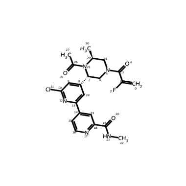 C=C(F)C(=O)N1C[C@H](c2cc(Cl)nc(-c3ccnc(C(=O)NC)c3)c2)N(C(C)=O)[C@@H](C)C1